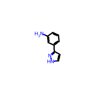 Nc1cccc(-c2cc[nH]n2)c1